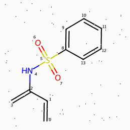 C=CC(=C)NS(=O)(=O)c1ccccc1